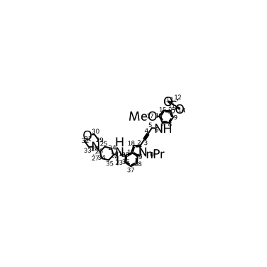 CCCn1c(C#CCNc2ccc(S(C)(=O)=O)cc2OC)cc2c(N[C@]3(I)CC[C@](C)(N4CCOCC4)CC3)cccc21